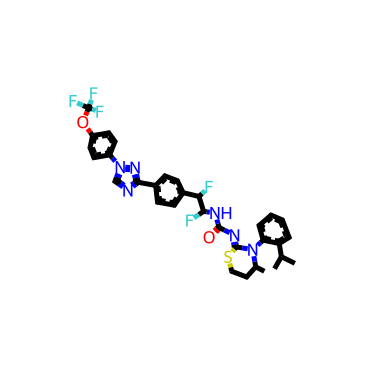 CC(C)c1ccccc1N1/C(=N/C(=O)NC(F)C(F)c2ccc(-c3ncn(-c4ccc(OC(F)(F)F)cc4)n3)cc2)SCCC1C